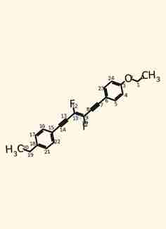 CCOc1ccc(C#C/C(F)=C(\F)C#Cc2ccc(CC)cc2)cc1